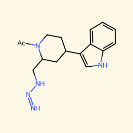 CC(=O)N1CCC(c2c[nH]c3ccccc23)CC1CNN=N